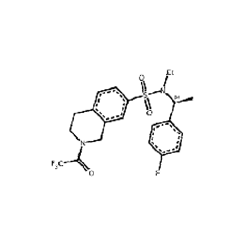 CCN([C@@H](C)c1ccc(F)cc1)S(=O)(=O)c1ccc2c(c1)CN(C(=O)C(F)(F)F)CC2